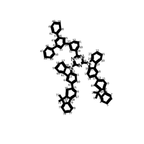 CC1(C)c2ccccc2-c2ccc(-c3ccc4c(c3)c3ccccc3n4-c3nc(-c4cccc(-c5cc(-c6ccccc6)cc(-c6ccccc6)c5)c4)nc(-n4c5ccccc5c5cc(-c6ccc7c(c6)C(C)(C)c6ccccc6-7)ccc54)n3)cc21